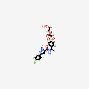 C[C@@H](NC(=O)c1cc(-c2ccc(F)cc2)nn1C)c1ccc(S(=O)(=O)CC(=O)OCCO)cc1